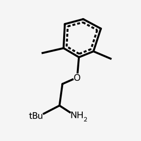 Cc1cccc(C)c1OCC(N)C(C)(C)C